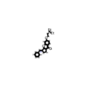 CCN(CC)CCOc1ccc2c(=O)c3c(oc2c1)/C(=C/c1ccccc1)CC3